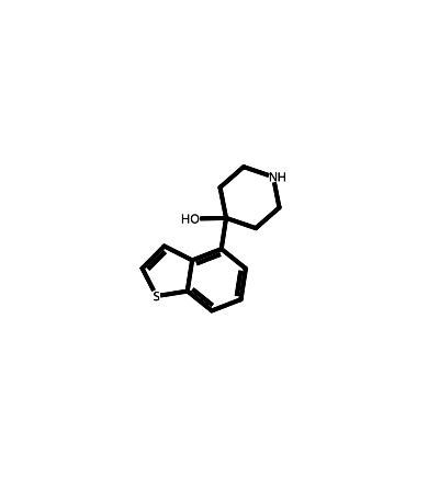 OC1(c2cccc3sccc23)CCNCC1